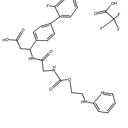 O=C(O)C(F)(F)F.O=C(O)CC(NC(=O)CNC(=O)OCCNc1ccccn1)c1ccc(-c2ccccc2F)cc1